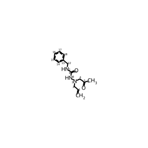 C=CCN(CC(C)=O)NC(=O)NCc1ccccc1